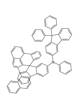 c1ccc(N(c2ccc3c(c2)-c2ccccc2C3(c2ccccc2)c2ccccc2)c2ccc3c(c2)C2(c4ccccc4-3)c3ccccc3-c3cccc4ccc(-c5cccc6ccccc56)c2c34)cc1